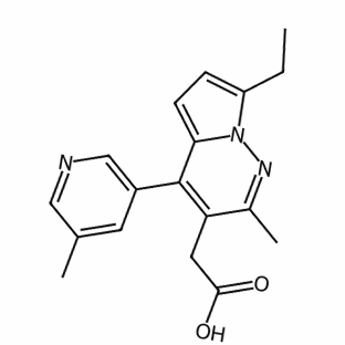 CCc1ccc2c(-c3cncc(C)c3)c(CC(=O)O)c(C)nn12